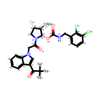 [2H]C([2H])([2H])C(=O)c1cn(CC(=O)N2C[C@H](F)[C@@H](OC)[C@@H]2OC(=O)NCc2cccc(Cl)c2F)c2ccccc12